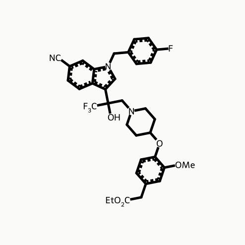 CCOC(=O)Cc1ccc(OC2CCN(CC(O)(c3cn(Cc4ccc(F)cc4)c4cc(C#N)ccc34)C(F)(F)F)CC2)c(OC)c1